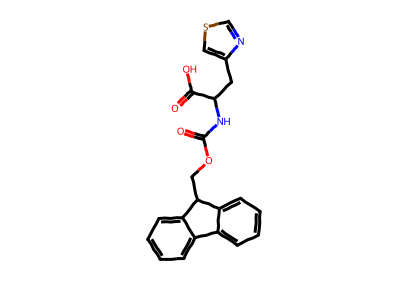 O=C(NC(Cc1cscn1)C(=O)O)OCC1c2ccccc2-c2ccccc21